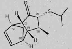 CC(C)S[C@H]1C(=O)[C@@H]2[C@H]([C@@H]1C)[C@H]1C=C[C@@H]2C1